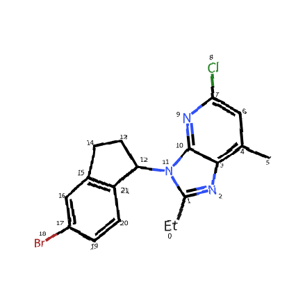 CCc1nc2c(C)cc(Cl)nc2n1C1CCc2cc(Br)ccc21